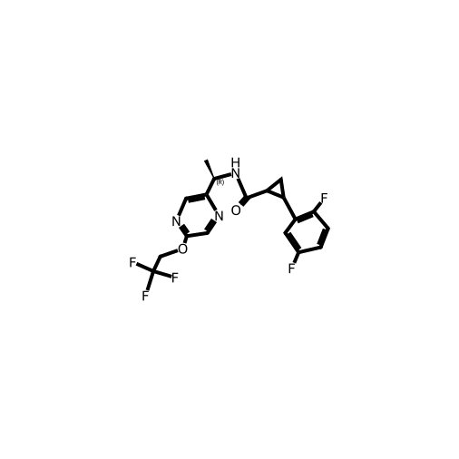 C[C@@H](NC(=O)C1CC1c1cc(F)ccc1F)c1cnc(OCC(F)(F)F)cn1